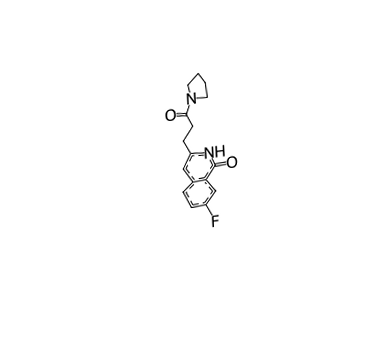 O=C(CCc1cc2ccc(F)cc2c(=O)[nH]1)N1CCCC1